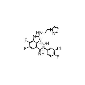 N=C(c1cc(F)c(F)c2nc(NCCn3cccn3)[nH]c12)N(O)c1ccc(F)c(Cl)c1